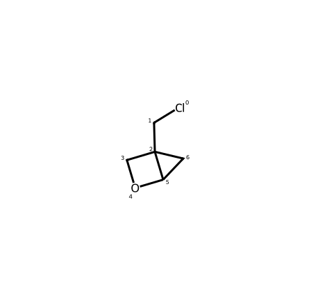 ClCC12COC1C2